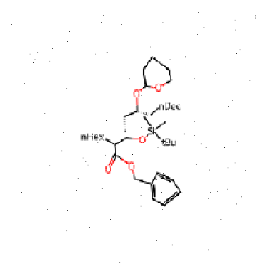 CCCCCCCCCCC[C@H](C[C@H](O[Si](C)(C)C(C)(C)C)[C@H](CCCCCC)C(=O)OCc1ccccc1)OC1CCCCO1